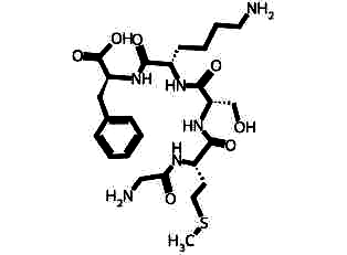 CSCC[C@H](NC(=O)CN)C(=O)N[C@@H](CO)C(=O)N[C@@H](CCCCN)C(=O)N[C@@H](Cc1ccccc1)C(=O)O